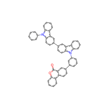 O=c1oc2ccccc2c2ccc(-c3cccc(-n4c5ccccc5c5cc(-c6ccc7c(c6)c6ccccc6n7-c6ccccc6)ccc54)c3)cc12